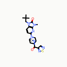 Cn1c(=O)n(CC(C)(C)C)c2ccc(N3CC4CCC3CN4C(=O)c3cnsn3)nc21